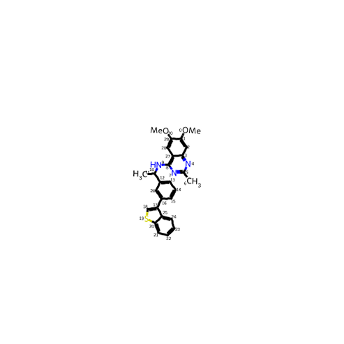 COc1cc2nc(C)nc(NC(C)c3cccc(-c4csc5ccccc45)c3)c2cc1OC